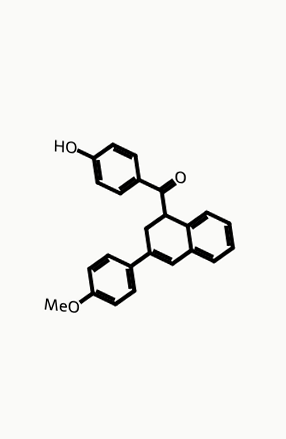 COc1ccc(C2=Cc3ccccc3C(C(=O)c3ccc(O)cc3)C2)cc1